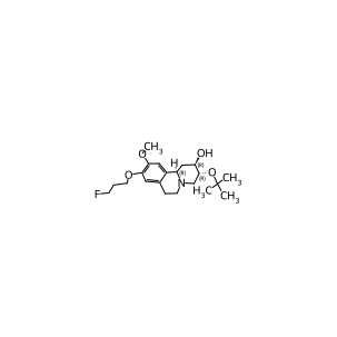 COc1cc2c(cc1OCCCF)CCN1C[C@@H](OC(C)(C)C)[C@H](O)C[C@H]21